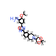 CC(C)Oc1ccc(-c2nc(-c3ccc4c(c3)CCN(C3COC(C)(C)OC3)CC4)no2)cc1N